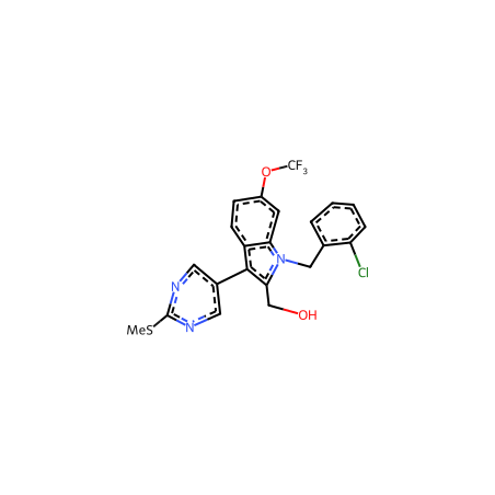 CSc1ncc(-c2c(CO)n(Cc3ccccc3Cl)c3cc(OC(F)(F)F)ccc23)cn1